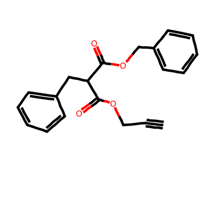 C#CCOC(=O)C(Cc1ccccc1)C(=O)OCc1ccccc1